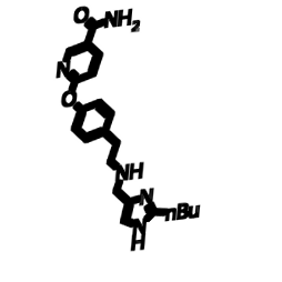 CCCCc1nc(CNCCc2ccc(Oc3ccc(C(N)=O)cn3)cc2)c[nH]1